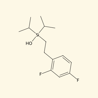 CC(C)[Si](O)(CCc1ccc(F)cc1F)C(C)C